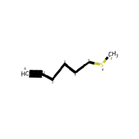 C#CCCCCSC